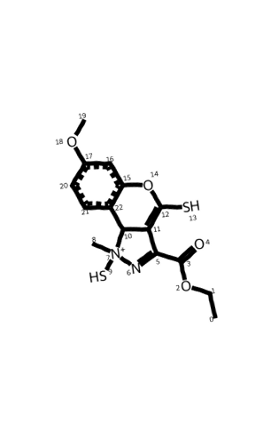 CCOC(=O)C1=N[N+](C)(S)C2C1=C(S)Oc1cc(OC)ccc12